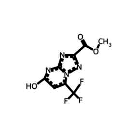 COC(=O)c1nc2nc(O)cc(C(F)(F)F)n2n1